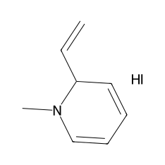 C=CC1C=CC=CN1C.I